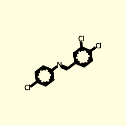 Clc1ccc(N=Cc2ccc(Cl)c(Cl)c2)cc1